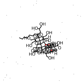 CCCCCCCC(CC(O)CO)C(CC(O)CO)(CC(O)CO)C(CC(O)CO)(CC(O)CO)C(CC(O)CO)(CC(O)CO)C(CC(O)CO)(CC(O)CO)C(O)(CC(O)CO)C(O)(O)C(O)(O)C(O)(O)C(O)(O)C(=O)O